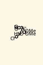 COc1ccc2c(CC(=O)NCc3ccc(Cl)cc3)c3[n+](cc2c1OC)CCc1cc2c(cc1-3)OCO2.[I-]